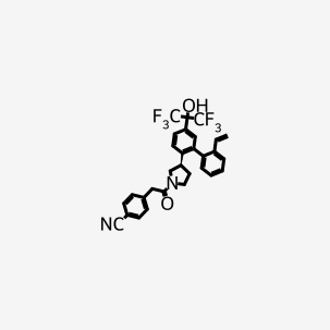 C=Cc1ccccc1-c1cc(C(O)(C(F)(F)F)C(F)(F)F)ccc1[C@H]1CCN(C(=O)Cc2ccc(C#N)cc2)C1